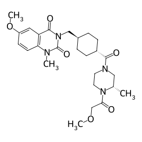 COCC(=O)N1CCN(C(=O)[C@H]2CC[C@H](Cn3c(=O)c4cc(OC)ccc4n(C)c3=O)CC2)C[C@@H]1C